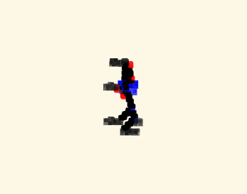 CCCCCCCCCCCCCCCN(CC)CCCN(CCCCCCCCCCCCCCC)CCCCCC(=O)Nc1nc(OCCCC)nc2c1[nH]c(=O)n2Cc1cccc(CC(=O)OC)c1